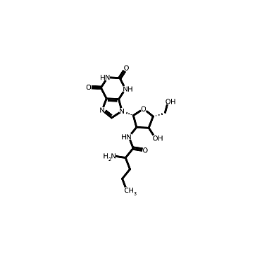 CCCC(N)C(=O)NC1C(O)[C@@H](CO)O[C@H]1n1cnc2c(=O)[nH]c(=O)[nH]c21